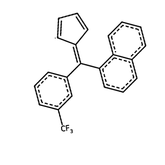 FC(F)(F)c1cccc(C(=C2[C]=CC=C2)c2cccc3ccccc23)c1